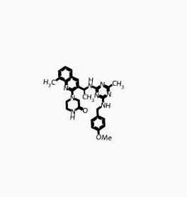 COc1ccc(CNc2nc(C)nc(N[C@@H](C)c3cc4cccc(C)c4nc3N3CCNC(=O)C3)n2)cc1